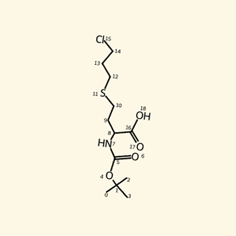 CC(C)(C)OC(=O)NC(CCSCCCCl)C(=O)O